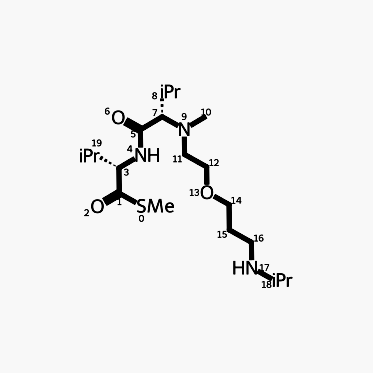 CSC(=O)[C@@H](NC(=O)[C@H](C(C)C)N(C)CCOCCCNC(C)C)C(C)C